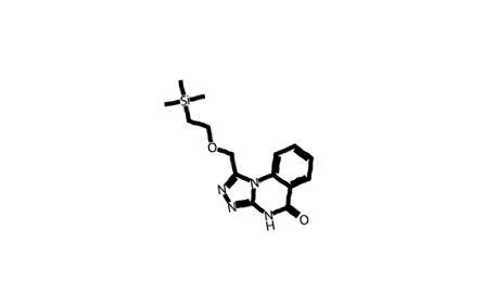 C[Si](C)(C)CCOCc1nnc2[nH]c(=O)c3ccccc3n12